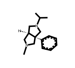 CC(C)N1C[C@@H]2CN(C)C[C@]2(c2ccccc2)C1